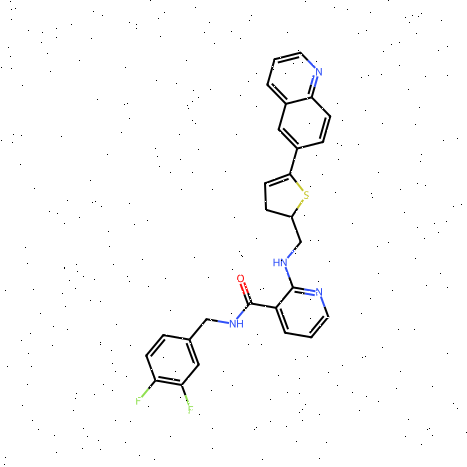 O=C(NCc1ccc(F)c(F)c1)c1cccnc1NCC1CC=C(c2ccc3ncccc3c2)S1